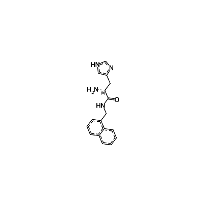 N[C@H](Cc1c[nH]cn1)C(=O)NCc1cccc2ccccc12